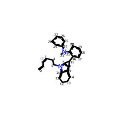 C=C/C=C\CCn1c2c(c3c1=CCCC=3)C2c1ccccc1N(C)c1ccccc1